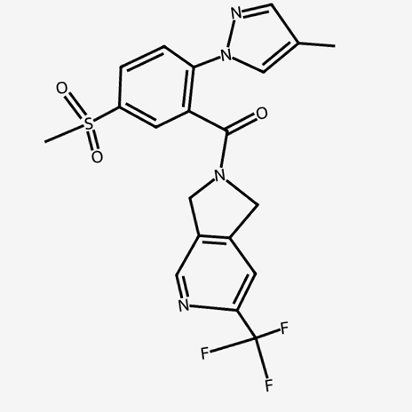 Cc1cnn(-c2ccc(S(C)(=O)=O)cc2C(=O)N2Cc3cnc(C(F)(F)F)cc3C2)c1